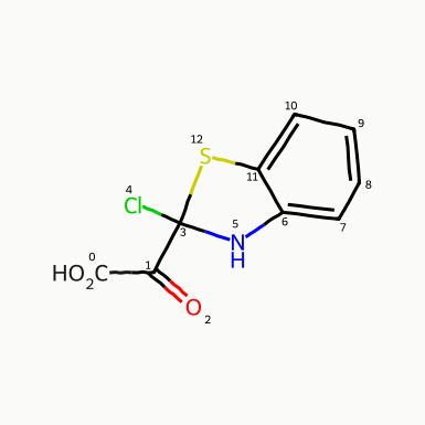 O=C(O)C(=O)C1(Cl)Nc2ccccc2S1